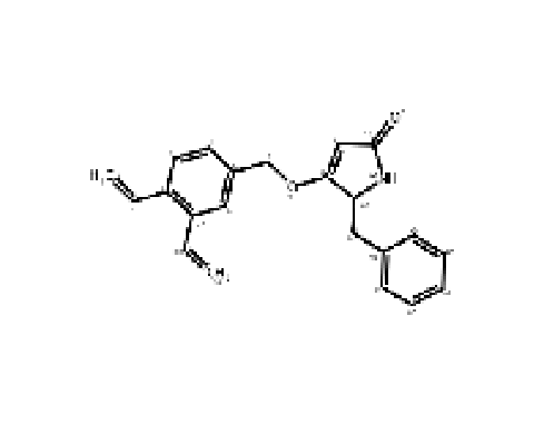 C=Cc1ccc(COC2=CC(=O)N[C@H]2Cc2ccccc2)cc1C=C